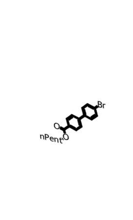 CCCCCOC(=O)c1ccc(-c2ccc(Br)cc2)cc1